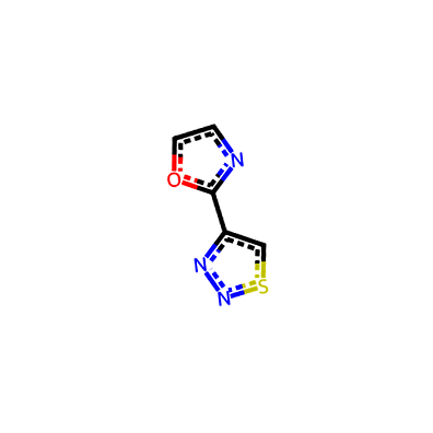 c1coc(-c2csnn2)n1